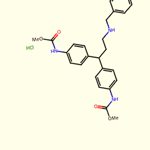 COC(=O)Nc1ccc(C(CCNCc2ccccc2)c2ccc(NC(=O)OC)cc2)cc1.Cl